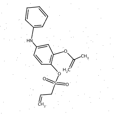 C=CCS(=O)(=O)Oc1ccc(Nc2ccccc2)cc1OC(=C)C